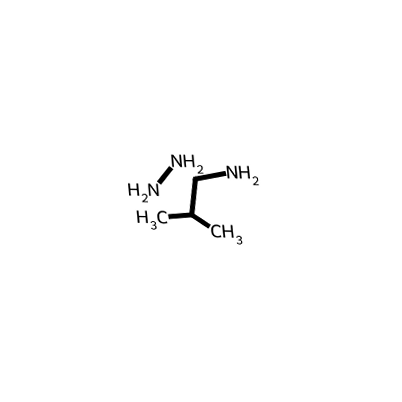 CC(C)CN.NN